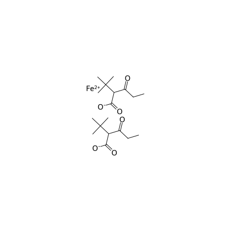 CCC(=O)C(C(=O)[O-])C(C)(C)C.CCC(=O)C(C(=O)[O-])C(C)(C)C.[Fe+2]